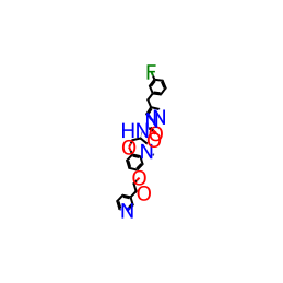 CN1C(=O)[C@@H](NC(=O)n2cc(Cc3cccc(F)c3)cn2)COc2ccc(OCC(=O)c3cccnc3)cc21